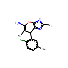 COc1ccc(Br)c(C2C(C#N)=C(N)Oc3[nH]c(C)nc32)c1